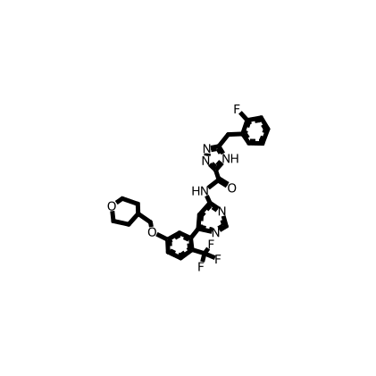 O=C(Nc1cc(-c2cc(OCC3CCOCC3)ccc2C(F)(F)F)ncn1)c1nnc(Cc2ccccc2F)[nH]1